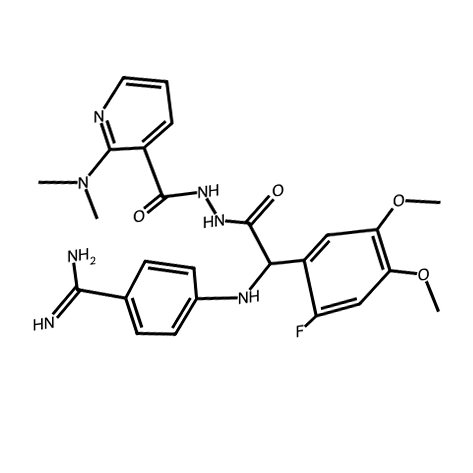 COc1cc(F)c(C(Nc2ccc(C(=N)N)cc2)C(=O)NNC(=O)c2cccnc2N(C)C)cc1OC